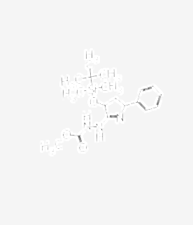 COC(=O)NNC1=NC(c2ccccc2)CC1O[Si](C)(C)C(C)(C)C